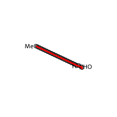 C/C=C\C(=O)N(C=O)CCCCCC(=O)NCCOCCOCCOCCOCCOCCOCCOCCOCCOCCOCCOCCOCCOCCOCCOCCOCCOCCOCCOCCOCCOCCOCCOCCOCCOCCOCCOCCOCCOCCOCCOCCOCCOCCOCCOCCOC